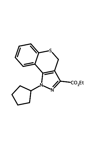 CCOC(=O)c1nn(C2CCCC2)c2c1CSc1ccccc1-2